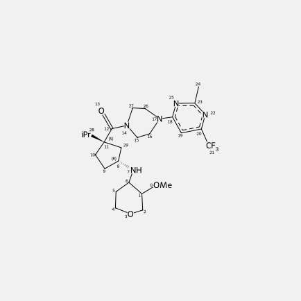 COC1COCCC1N[C@@H]1CC[C@@](C(=O)N2CCN(c3cc(C(F)(F)F)nc(C)n3)CC2)(C(C)C)C1